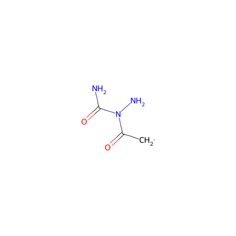 [CH2]C(=O)N(N)C(N)=O